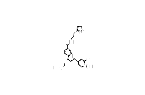 CCOc1cc(-c2ccn(C)c(=O)c2)nc2cc(C(=O)NCCCc3cc[nH]n3)ccc12